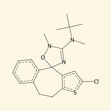 CN1OC2(N=C1N(C)C(C)(C)C)c1ccccc1CCc1sc(Cl)cc12